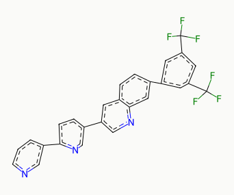 FC(F)(F)c1cc(-c2ccc3cc(-c4ccc(-c5cccnc5)nc4)cnc3c2)cc(C(F)(F)F)c1